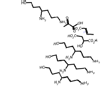 C/C=C/C(=O)O.CC(=O)C(=O)O.NCCCC(N)CCCO.NCCCC(N)CCCO.NCCCC(N)CCCO.NCCCC(N)CCCO.O=C(O)CC(O)C(=O)O